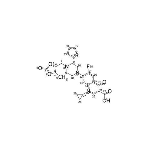 Cc1oc(=O)oc1CN1CCN(c2cc3c(cc2F)c(=O)c(C(=O)O)cn3C2CC2)CC1c1cccs1